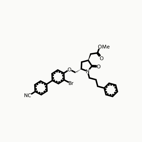 COC(=O)C[C@@H]1C[C@@H](COc2ccc(-c3ccc(C#N)cc3)cc2Br)N(CCCc2ccccc2)C1=O